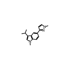 CC(C)c1cn(C)c2ccc(-c3ccn(C)n3)cc12